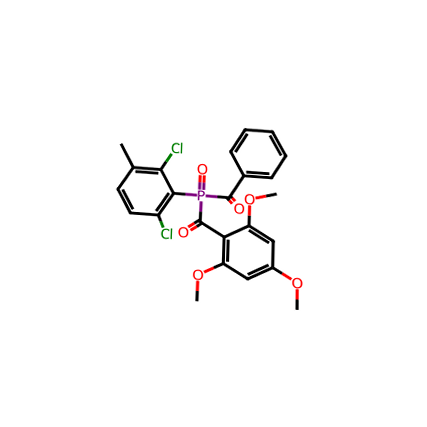 COc1cc(OC)c(C(=O)P(=O)(C(=O)c2ccccc2)c2c(Cl)ccc(C)c2Cl)c(OC)c1